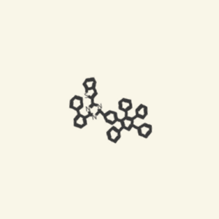 c1ccc(-c2ccccc2-c2nc(-c3ccc(-c4c(-c5ccccc5)cc(-c5ccccc5)c(-c5ccccc5)c4-c4ccccc4)cc3)nc(-c3cc4ccccc4s3)n2)cc1